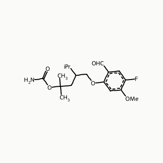 COc1cc(OCC(CC(C)(C)OC(N)=O)C(C)C)c(C=O)cc1F